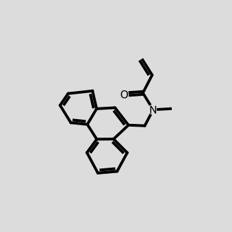 C=CC(=O)N(C)Cc1cc2ccccc2c2ccccc12